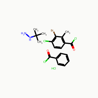 CC(C)(C)NN.Cc1c(C(=O)Cl)ccc(Cl)c1Br.Cl.O=C(Cl)c1ccccc1